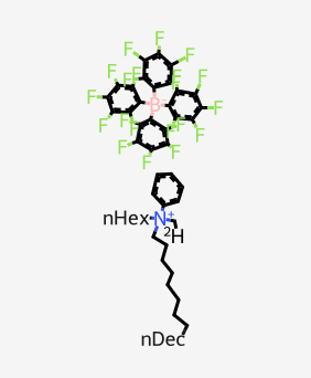 Fc1c(F)c(F)c([B-](c2c(F)c(F)c(F)c(F)c2F)(c2c(F)c(F)c(F)c(F)c2F)c2c(F)c(F)c(F)c(F)c2F)c(F)c1F.[2H]C[N+](CCCCCC)(CCCCCCCCCCCCCCCCCC)c1ccccc1